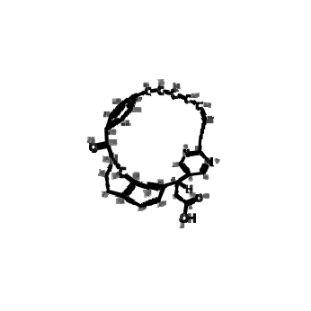 O=C(O)C[C@H]1c2cnc(nc2)CCCCCCc2ccc(cc2)C(=O)N2CCc3ccc1cc3C2